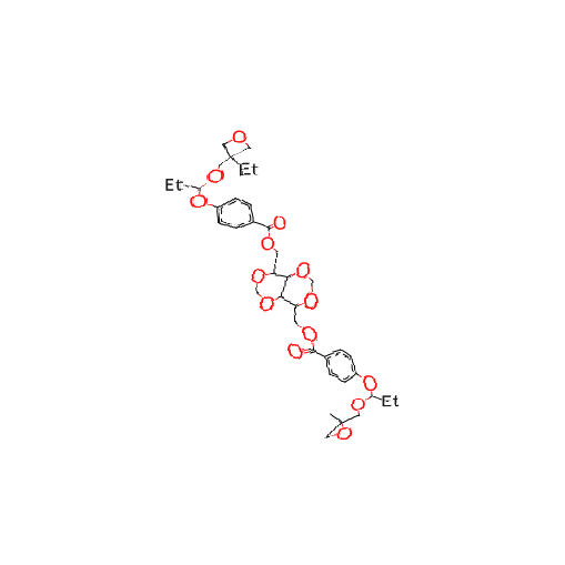 CCC(OCC1(CC)COC1)Oc1ccc(C(=O)OCC2OCOC3C(COC(=O)c4ccc(OC(CC)OCC5(C)CO5)cc4)OCOC23)cc1